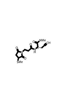 C#CC[C@H](NC(=O)CCN1C(=O)CC(SC)C1=O)C(=O)NC